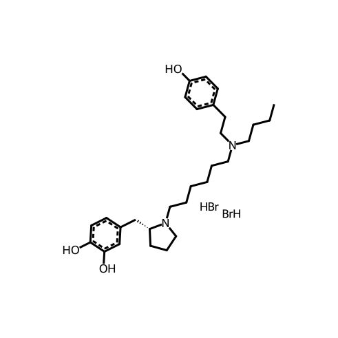 Br.Br.CCCCN(CCCCCCN1CCC[C@@H]1Cc1ccc(O)c(O)c1)CCc1ccc(O)cc1